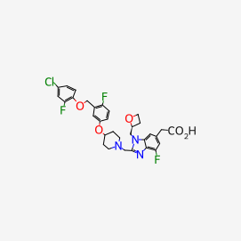 O=C(O)Cc1cc(F)c2nc(CN3CCC(Oc4ccc(F)c(COc5ccc(Cl)cc5F)c4)CC3)n(C[C@@H]3CCO3)c2c1